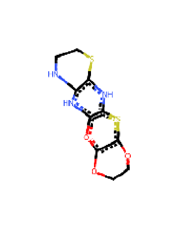 C1CSc2[nH]c3sc4c(oc=3[nH]c2N1)OCCO4